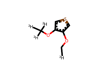 [2H]COc1cscc1OC([2H])([2H])[2H]